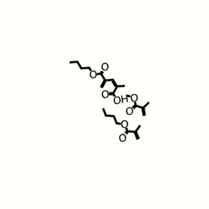 C=C(C)C(=O)OC.C=C(C)C(=O)OCCCC.C=C(C=C(C)C(=O)O)C(=O)OCCCC